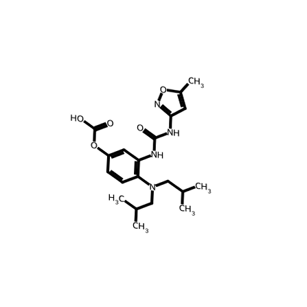 Cc1cc(NC(=O)Nc2cc(OC(=O)O)ccc2N(CC(C)C)CC(C)C)no1